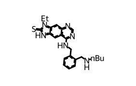 CCCCNCc1ccccc1CNc1ncnc2cc3c(cc12)[nH]c(=S)n3CC